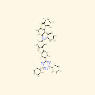 c1ccc(-c2nc(-c3ccccc3)nc(-c3ccc4c(c3)sc3ccc(-n5c6ccccc6c6c7c(ccc65)sc5ccccc57)cc34)n2)cc1